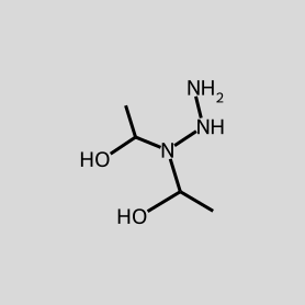 CC(O)N(NN)C(C)O